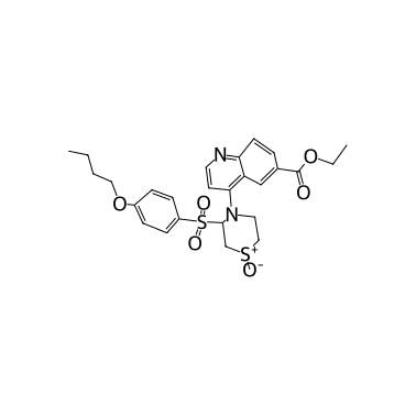 CCCCOc1ccc(S(=O)(=O)C2C[S+]([O-])CCN2c2ccnc3ccc(C(=O)OCC)cc23)cc1